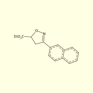 CCOC(=O)C1CC(c2ccc3ccccc3c2)=NO1